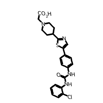 O=C(O)CN1CCC(c2ncc(-c3ccc(NC(=O)Nc4ccccc4Cl)cc3)s2)CC1